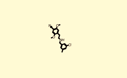 COc1cc(CCNCc2cc(C)cc(Cl)c2)c(OC)cc1C#N